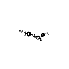 COC(=O)c1ccc(OCC2CN(c3ccc(N)cc3)C(=O)O2)cc1